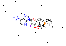 C=P(C)(C)CC(C)[C@@]1(C)O[C@@H](n2cnc3c(N)ccnc32)[C@H](I)[C@@H]1O